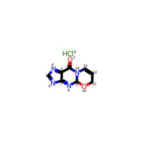 Cl.O=C1C2=NC=NC2=NC2OCC=CN12